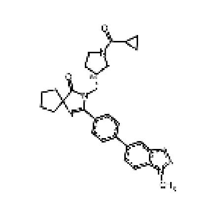 Cn1ncc2cc(-c3ccc(C4=NC5(CCCC5)C(=O)N4C[C@@H]4CCN(C(=O)C5CC5)C4)cc3)ccc21